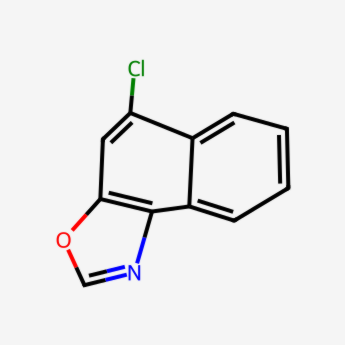 Clc1cc2ocnc2c2ccccc12